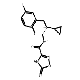 O=C(NC[C@H](Cc1cc(F)ccc1F)C1CC1)c1noc(=O)[nH]1